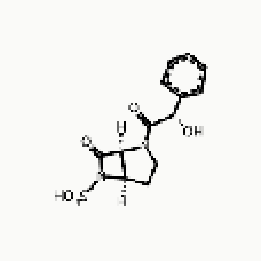 O=C([C@@H](O)c1ccccc1)N1CC[C@@H]2[C@H]1C(=O)N2S(=O)(=O)O